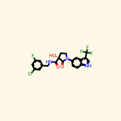 O=C(NCc1cc(F)cc(Cl)c1)[C@@]1(O)CCN(c2ccc3[nH]cc(C(F)(F)F)c3c2)C1=O